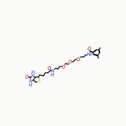 Cc1cc(C)cc(C(=O)NCCCOCCOCCOCCCNC(=O)CCCCC2SCC3NC(=O)NC32)c1